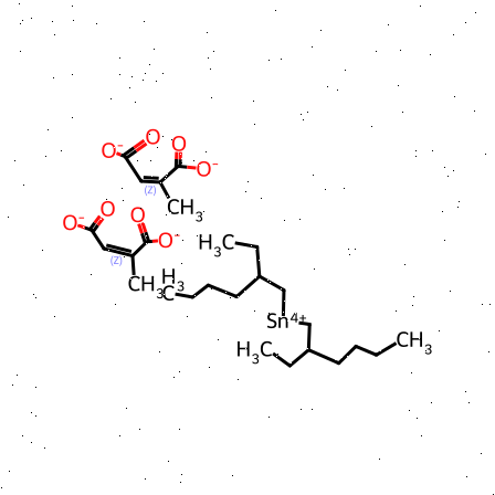 C/C(=C/C(=O)[O-])C(=O)[O-].C/C(=C/C(=O)[O-])C(=O)[O-].CCCCC(CC)[CH2][Sn+4][CH2]C(CC)CCCC